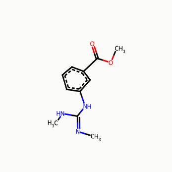 C/N=C(/NC)Nc1cccc(C(=O)OC)c1